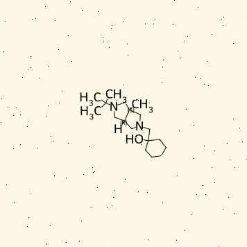 CC(C)(C)N1C[C@H]2CN(CC3(O)CCCCC3)C[C@@]2(C)C1